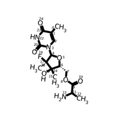 Cc1cn(C2O[C@H](COC(=O)C(C)N)C(C)(O)[C@@]2(C)F)c(=O)[nH]c1=O